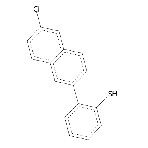 Sc1ccccc1-c1ccc2cc(Cl)ccc2c1